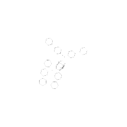 c1ccc(-c2ccc(N(c3ccc(-c4ccccc4)cc3)c3ccc(-c4cccc5c4C4(c6ccccc6-c6ccccc64)c4ccccc4C54c5ccccc5-c5ccccc54)cc3)cc2)cc1